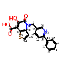 O=C(O)c1c(O)c(=O)n(Cc2ccc(-c3ccccc3)nc2)c2ccsc12